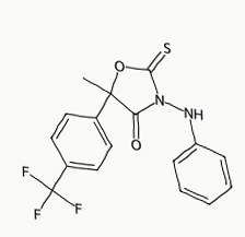 CC1(c2ccc(C(F)(F)F)cc2)OC(=S)N(Nc2ccccc2)C1=O